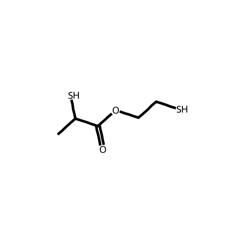 CC(S)C(=O)OCCS